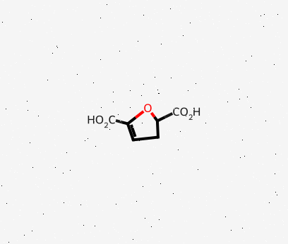 O=C(O)C1=CCC(C(=O)O)O1